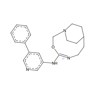 c1ccc(-c2cncc(N/C3=N/CCC4CCN(CC4)CO3)c2)cc1